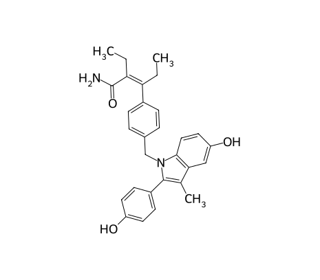 CCC(C(N)=O)=C(CC)c1ccc(Cn2c(-c3ccc(O)cc3)c(C)c3cc(O)ccc32)cc1